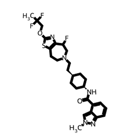 Cn1cc2c(C(=O)N[C@H]3CC[C@H](CCN4CCc5sc(OCC(C)(F)F)nc5C(F)C4)CC3)cccc2n1